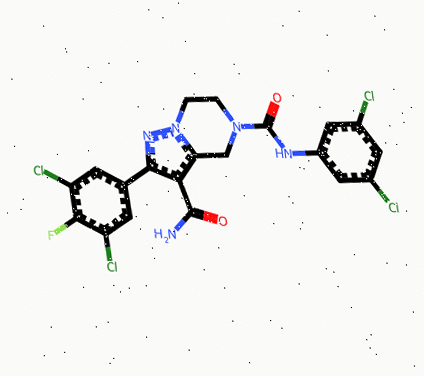 NC(=O)c1c(-c2cc(Cl)c(F)c(Cl)c2)nn2c1CN(C(=O)Nc1cc(Cl)cc(Cl)c1)CC2